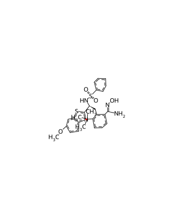 COc1ccc2nc([C@H](Cc3c(C(N)=NO)cccc3C(C)(C)C)NS(=O)(=O)c3ccccc3)sc2c1